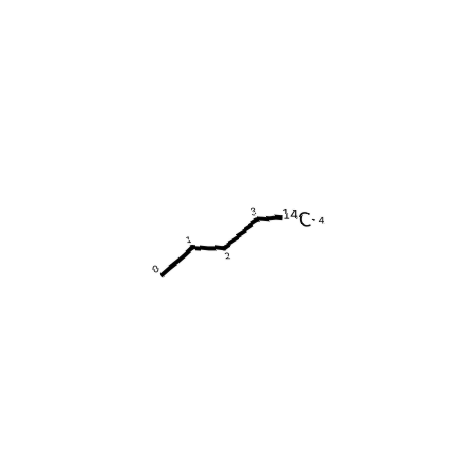 CCCC[14CH2]